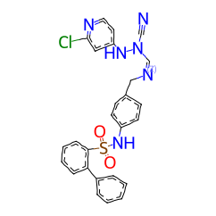 N#CN(/C=N\Cc1ccc(NS(=O)(=O)c2ccccc2-c2ccccc2)cc1)Nc1ccnc(Cl)c1